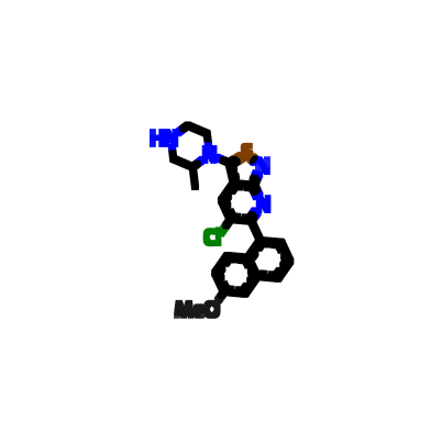 COc1ccc2c(-c3nc4nsc(N5CCNCC5C)c4cc3Cl)cccc2c1